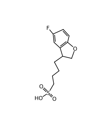 O=S(=O)(O)CCCCC1COc2ccc(F)cc21